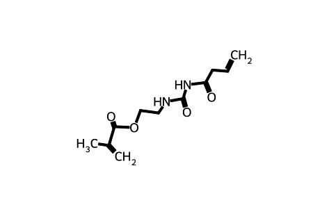 C=CCC(=O)NC(=O)NCCOC(=O)C(=C)C